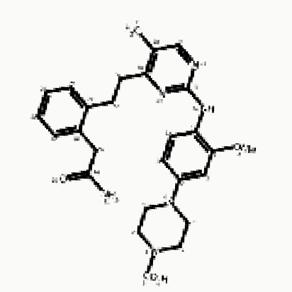 COc1cc(N2CCN(C(=O)O)CC2)ccc1Nc1ncc(C(F)(F)F)c(CCc2ccccc2CC(N)=O)n1